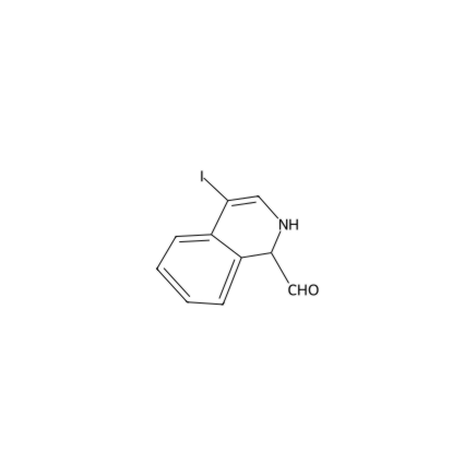 O=CC1NC=C(I)c2ccccc21